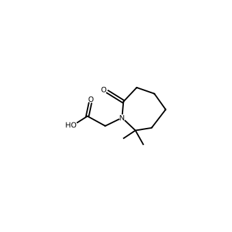 CC1(C)CCCCC(=O)N1CC(=O)O